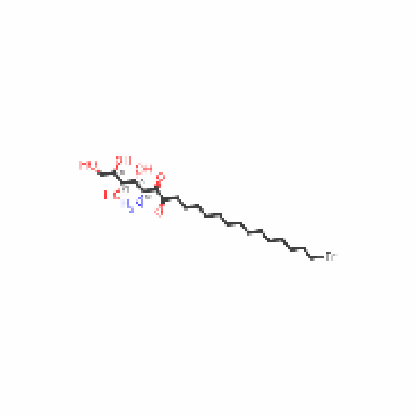 CC(C)CCCCCCCCCCCCCCC(=O)C(=O)[C@H](N)[C@@H](O)[C@H](O)[C@H](O)CO